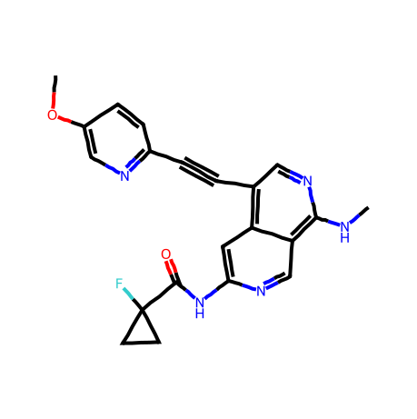 CNc1ncc(C#Cc2ccc(OC)cn2)c2cc(NC(=O)C3(F)CC3)ncc12